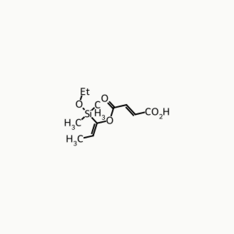 CC=C(OC(=O)C=CC(=O)O)[Si](C)(C)OCC